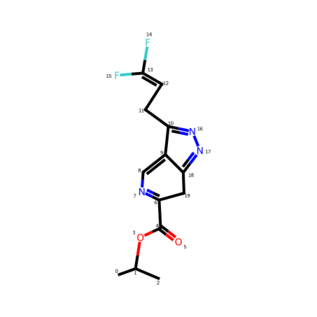 CC(C)OC(=O)C1=NC=C2C(CC=C(F)F)=NN=C2C1